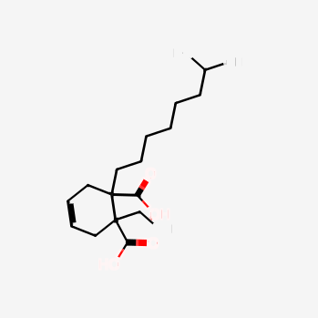 CCC1(C(=O)O)CC=CCC1(CCCCCCC(C)C)C(=O)O